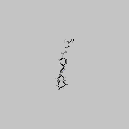 CCN(CC)CCCOc1ccc(/C=C/c2nc3ccccc3s2)cc1